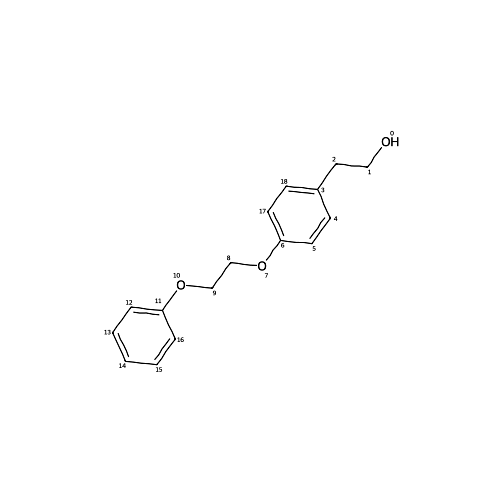 OCCc1ccc(OCCOc2ccccc2)cc1